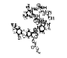 CCOC(=O)COC(=O)c1cc(Oc2ccc(C(F)(F)F)cc2Cl)ccc1[N+](=O)[O-].COc1cc(OC)nc(NC(=O)NS(=O)(=O)c2ncccc2C(=O)N(C)C)n1.O=C(O)CNCP(=O)(O)O